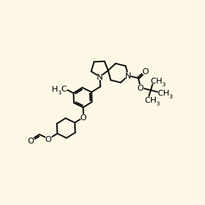 Cc1cc(CN2CCCC23CCN(C(=O)OC(C)(C)C)CC3)cc(OC2CCC(OC=O)CC2)c1